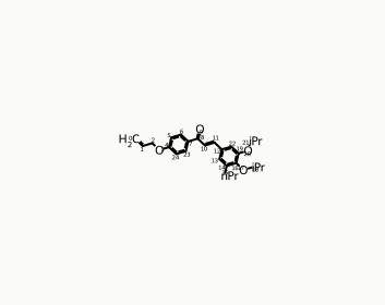 C=CCOc1ccc(C(=O)C=Cc2cc(CCC)c(OC(C)C)c(OC(C)C)c2)cc1